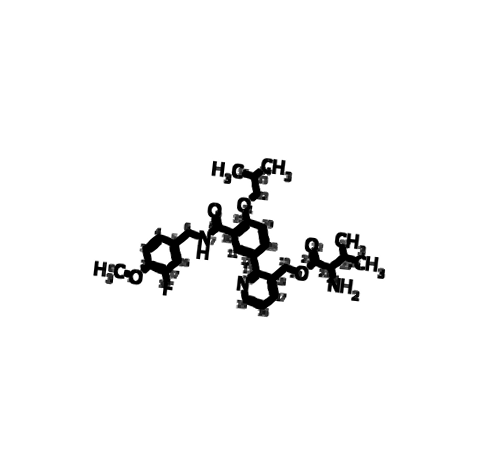 COc1ccc(CNC(=O)c2cc(-c3ncccc3COC(=O)C(N)C(C)C)ccc2OCC(C)C)cc1F